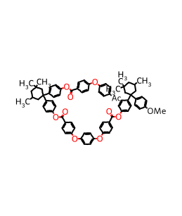 COc1ccc(C2(c3ccc(OC(=O)c4ccc(Oc5ccc(Oc6ccc(C(=O)Oc7ccc(C8(c9ccc(OC(=O)c%10ccc(Oc%11ccc(C(C)=O)cc%11)cc%10)cc9)CC(C)CC(C)(C)C8)cc7)cc6)cc5)cc4)cc3)CC(C)CC(C)(C)C2)cc1